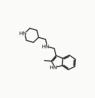 Cc1[nH]c2ccccc2c1CNCC1CCNCC1